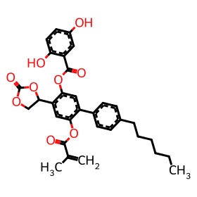 C=C(C)C(=O)Oc1cc(C2COC(=O)O2)c(OC(=O)c2cc(O)ccc2O)cc1-c1ccc(CCCCCC)cc1